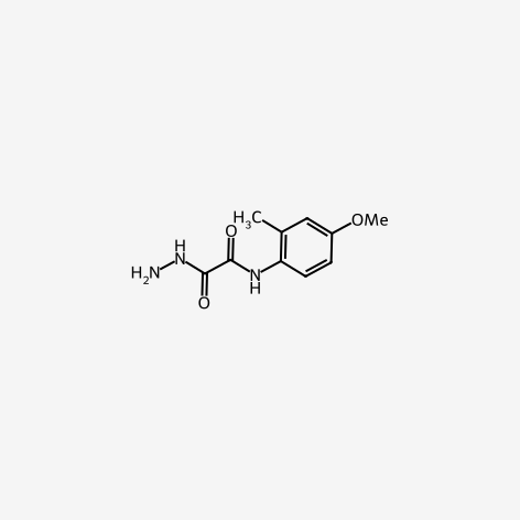 COc1ccc(NC(=O)C(=O)NN)c(C)c1